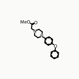 COC(=O)CN1CCN(c2ccc(Oc3ccccc3)cc2)CC1